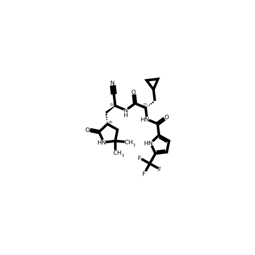 CC1(C)C[C@@H](C[C@@H](C#N)NC(=O)[C@H](CC2CC2)NC(=O)c2ccc(C(F)(F)F)[nH]2)C(=O)N1